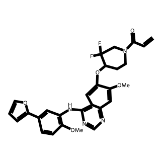 C=CC(=O)N1CCC(Oc2cc3c(Nc4cc(-c5ccco5)ccc4OC)ncnc3cc2OC)C(F)(F)C1